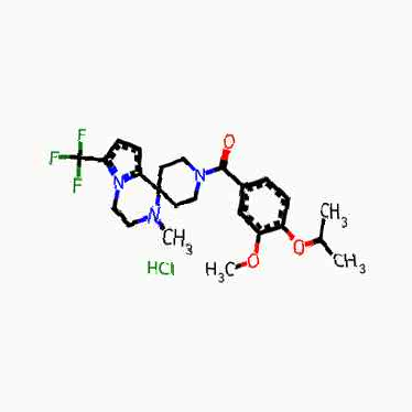 COc1cc(C(=O)N2CCC3(CC2)c2ccc(C(F)(F)F)n2CCN3C)ccc1OC(C)C.Cl